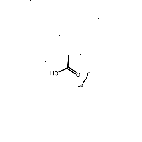 CC(=O)O.[Cl][La]